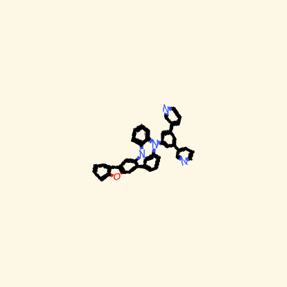 c1cncc(-c2cc(-c3cccnc3)cc(N3c4ccccc4-n4c5cc6c(cc5c5cccc3c54)oc3ccccc36)c2)c1